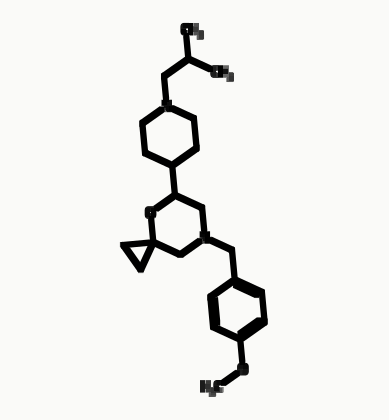 COc1ccc(CN2CC(C3CCN(CC(C)C)CC3)OC3(CC3)C2)cc1